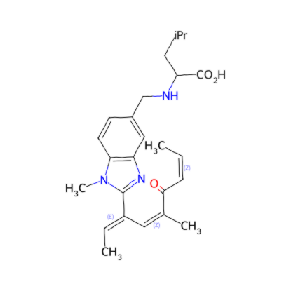 C/C=C\C(=O)/C(C)=C\C(=C/C)c1nc2cc(CNC(CC(C)C)C(=O)O)ccc2n1C